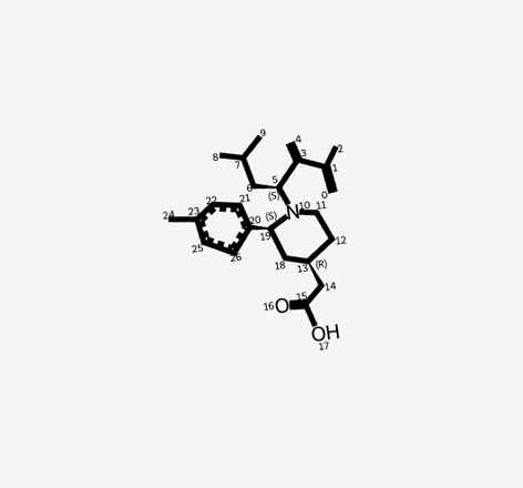 C=C(C)C(=C)[C@H](CC(C)C)N1CC[C@@H](CC(=O)O)C[C@H]1c1ccc(C)cc1